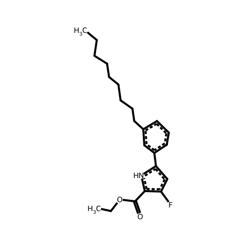 CCCCCCCCCc1cccc(-c2cc(F)c(C(=O)OCC)[nH]2)c1